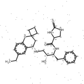 CCc1ccc2c(c1)[C@@H](NC[C@@H](O)[C@H](Cc1ccccc1)NC(=O)C1CNC(=O)N1)CC1(CCC1)O2